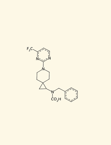 O=C(O)N(Cc1ccccc1)C1CC12CCN(c1nccc(C(F)(F)F)n1)CC2